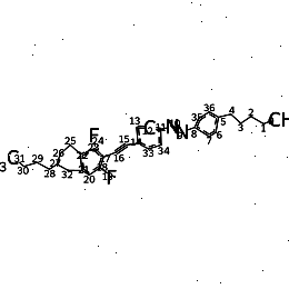 CCCCCc1ccc(N=Nc2ccc(C#Cc3c(F)cc4c(c3F)CCC(CCCC)C4)cc2)cc1